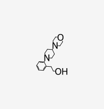 OCCc1ccccc1N1CCC(N2CCOCC2)CC1